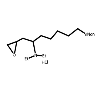 CCCCCCCCCCCCCCC(CC1CO1)N(CC)CC.Cl